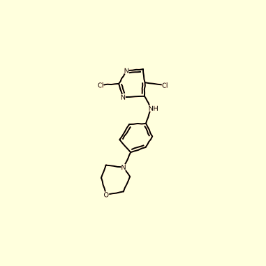 Clc1ncc(Cl)c(Nc2ccc(N3CCOCC3)cc2)n1